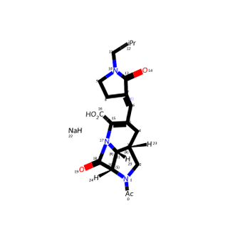 CC(=O)N1C[C@H]2CC(/C=C3\CCN(CC(C)C)C3=O)=C(C(=O)O)N3C(=O)[C@@H]1[C@@H]23.[NaH]